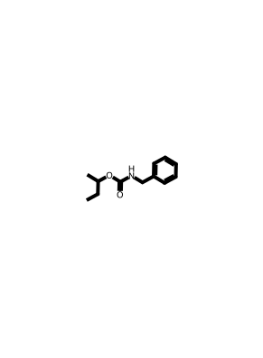 CCC(C)OC(=O)NCc1ccccc1